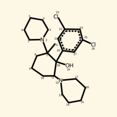 CC1(N2CCCCC2)CCCC(N2CCCCC2)C1(O)c1cc(Cl)cc(Cl)c1